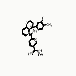 Cc1ccc([C@@]2(NC(=O)c3ccc(C(=N)NO)cn3)CCOc3cccnc32)cc1F